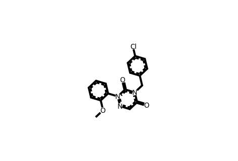 COc1ccccc1-n1ncc(=O)n(Cc2ccc(Cl)cc2)c1=O